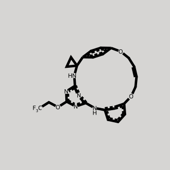 FC(F)(F)COc1nc2nc(n1)NC1(CC1)c1ccc(cc1)OCC=CCOc1cccc(c1)N2